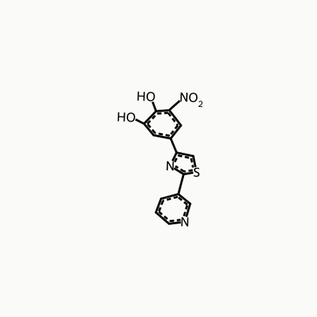 O=[N+]([O-])c1cc(-c2csc(-c3cccnc3)n2)cc(O)c1O